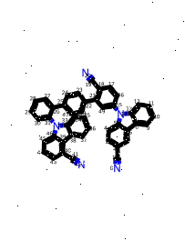 N#Cc1ccc2c(c1)c1ccccc1n2-c1ccc(C#N)c(-c2ccc(-c3ccccc3-n3c4ccccc4c4c(C#N)cccc43)cc2)c1